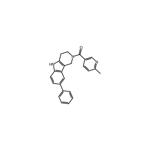 Cc1ccc(C(=O)N2CCc3[nH]c4ccc(-c5ccccc5)cc4c3C2)cn1